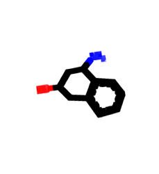 NC1CC(O)Cc2ccccc21